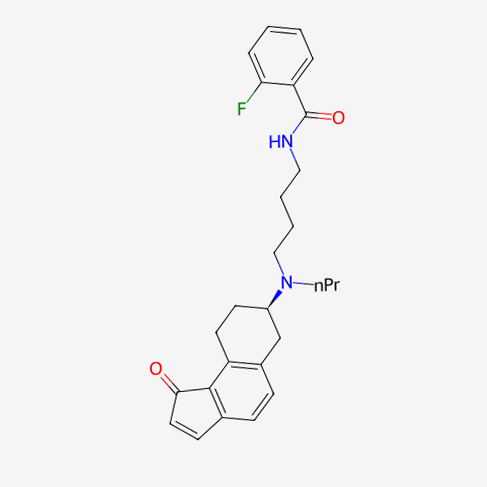 CCCN(CCCCNC(=O)c1ccccc1F)[C@@H]1CCc2c(ccc3c2C(=O)C=C3)C1